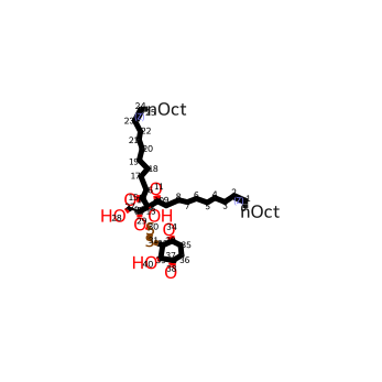 CCCCCCCC/C=C\CCCCCCCC(=O)C(O)(C(=O)CCCCCCC/C=C\CCCCCCCC)[C@H](CO)OSSC1C(=O)CCC(=O)C1O